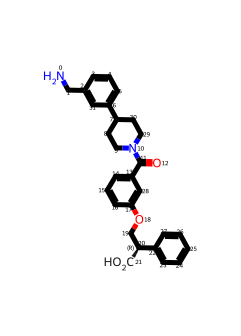 NCc1cccc(C2CCN(C(=O)c3cccc(OC[C@H](C(=O)O)c4ccccc4)c3)CC2)c1